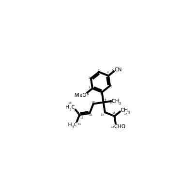 COc1ccc(C#N)cc1C(C)(CC=C(C)C)CC(C)C=O